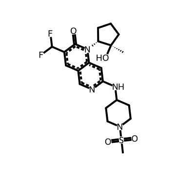 C[C@@]1(O)CCC[C@H]1n1c(=O)c(C(F)F)cc2cnc(NC3CCN(S(C)(=O)=O)CC3)cc21